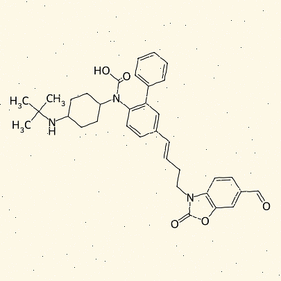 CC(C)(C)NC1CCC(N(C(=O)O)c2ccc(C=CCCn3c(=O)oc4cc(C=O)ccc43)cc2-c2ccccc2)CC1